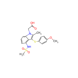 COc1ccc(Sc2c(C)n(CC(=O)O)c3cccc(NS(C)(=O)=O)c23)cc1